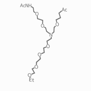 CCOCCOCCOCCOCCN(CCOCCCC(C)=O)CCOCCOCCNC(C)=O